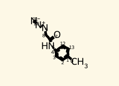 Cc1ccc(NC(=O)CN=[N+]=[N-])cc1